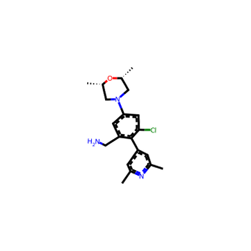 Cc1cc(-c2c(Cl)cc(N3C[C@@H](C)O[C@@H](C)C3)cc2CN)cc(C)n1